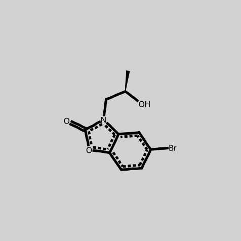 C[C@@H](O)Cn1c(=O)oc2ccc(Br)cc21